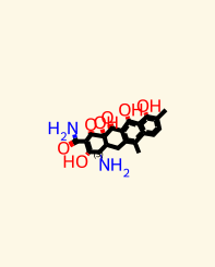 Cc1ccc2c(C)c3c(c(O)c2c1O)C(=O)C1(O)C(=O)C(C(N)=O)=C(O)[C@@H](N)C1C3